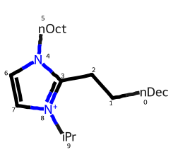 CCCCCCCCCCCCc1n(CCCCCCCC)cc[n+]1C(C)C